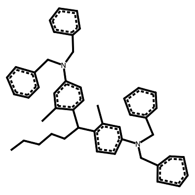 CCCCCC(c1ccc(N(Cc2ccccc2)Cc2ccccc2)cc1C)c1ccc(N(Cc2ccccc2)Cc2ccccc2)cc1C